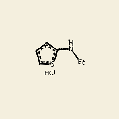 CCNc1cccs1.Cl